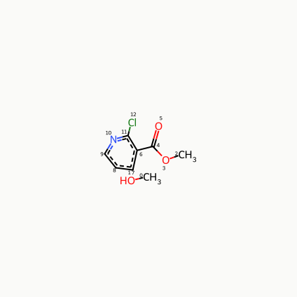 CO.COC(=O)c1cccnc1Cl